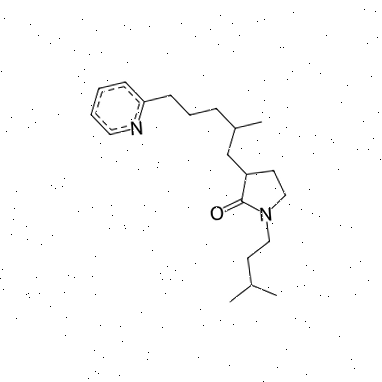 CC(C)CCN1CCC(CC(C)CCCc2ccccn2)C1=O